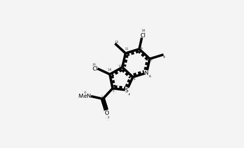 CNC(=O)c1sc2nc(C)c(Cl)c(C)c2c1Cl